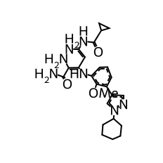 COc1c(NC(/C=C(\N)NC(=O)C2CC2)=C(/N)C(N)=O)cccc1-c1cnn(C2CCCCC2)c1